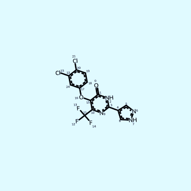 O=c1[nH]c(-c2cn[nH]c2)nc(C(F)(F)F)c1Oc1ccc(Cl)c(Cl)c1